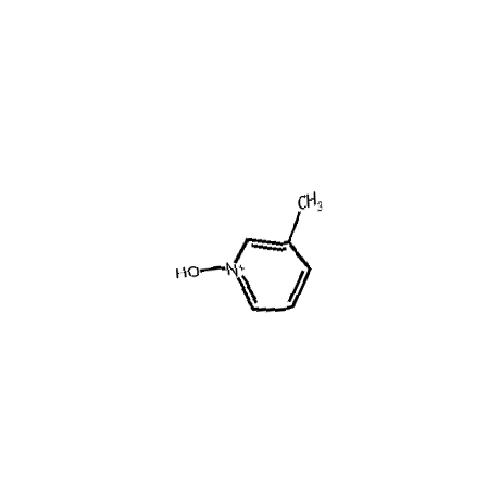 Cc1ccc[n+](O)c1